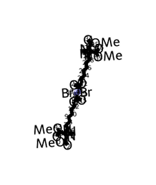 COC(=O)c1nnn(CCCCCCOC(=O)/C(Br)=C(\Br)C(=O)OCCCCCCn2nnc(C(=O)OC)c2C(=O)OC)c1C(=O)OC